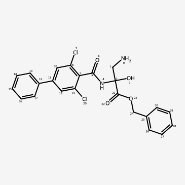 NCC(O)(NC(=O)c1c(Cl)cc(-c2ccccc2)cc1Cl)C(=O)OCc1ccccc1